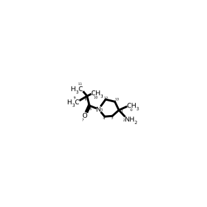 CC1(N)CCN(C(=O)C(C)(C)C)CC1